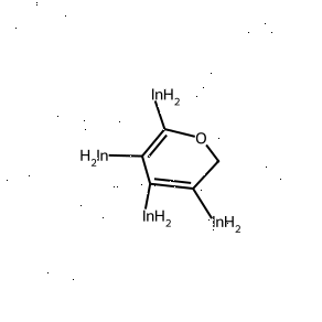 [InH2][C]1=[C]([InH2])[C]([InH2])=[C]([InH2])OC1